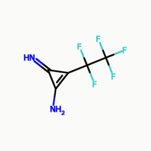 N=c1c(N)c1C(F)(F)C(F)(F)F